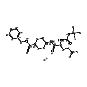 C[S+](C)CCC(NC(=O)OC(C)(C)C)C(=O)NC1CCN(C(=O)OCc2ccccc2)CC1.[I-]